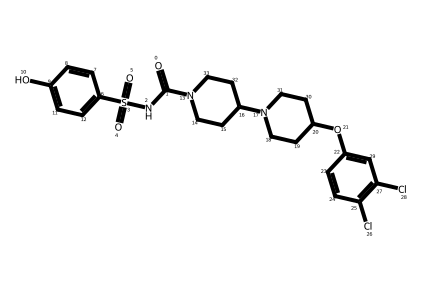 O=C(NS(=O)(=O)c1ccc(O)cc1)N1CCC(N2CCC(Oc3ccc(Cl)c(Cl)c3)CC2)CC1